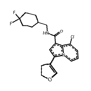 O=C(NCC1CCC(F)(F)CC1)c1cc(C2=COCC2)n2cccc(Cl)c12